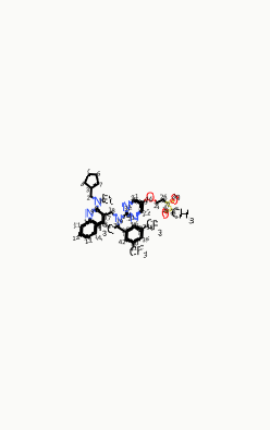 CCN(CC1CCCC1)c1nc2ccccc2cc1CN(c1ncc(OCCS(C)(=O)=O)cn1)C(C)c1cc(C(F)(F)F)cc(C(F)(F)F)c1